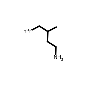 CCCCC(C)CCN